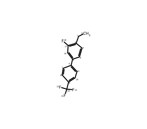 CCc1ccc(-c2ccc(C(F)(F)F)cc2)cc1F